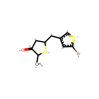 CC1SC(Cc2csc(Br)c2)CC1=O